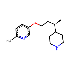 Bc1ccc(OCC[C@@H](C)C2CCNCC2)cn1